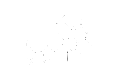 COC1=C(F)C(N2CC3CC(F)(F)C(O)C3C2)C(C)c2c1c(=O)[nH]c(=O)n2C1CC1